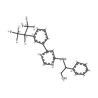 OCC(Nc1cc(-c2cccc(C(F)(C(F)(F)F)C(F)(F)F)c2)ncn1)c1ccccc1